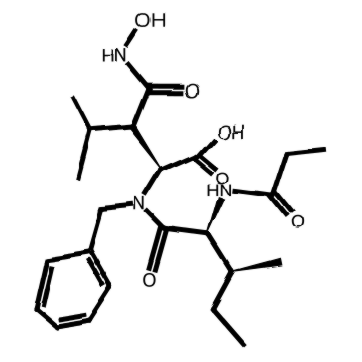 CCC(=O)N[C@H](C(=O)N(Cc1ccccc1)[C@H](C(=O)O)C(C(=O)NO)C(C)C)[C@@H](C)CC